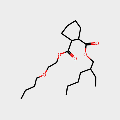 CCCCOCCOC(=O)C1CCCCC1C(=O)OCC(CC)CCCC